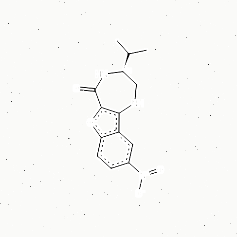 CC(C)[C@H]1CNc2c(oc3ccc([N+](=O)[O-])cc23)C(=O)N1